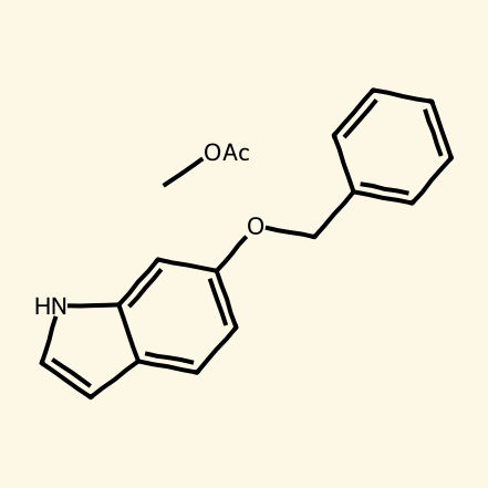 COC(C)=O.c1ccc(COc2ccc3cc[nH]c3c2)cc1